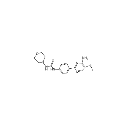 CSc1cnc(-c2ccc(NC(=O)NN3CCOCC3)cc2)nc1N